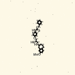 COc1ccc2c(c1)CC(NC[C@H](O)COc1ccc(NC(=O)OCc3ccccc3)nc1)CCC2